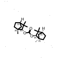 CC1(C)[C@H]2CC[C@](C)(C2)[C@H]1OC(=O)O[C@H]1C(C)(C)[C@H]2CC[C@]1(C)C2